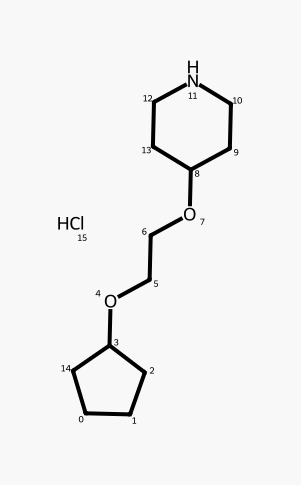 C1CCC(OCCOC2CCNCC2)C1.Cl